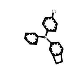 CCc1ccc(N(c2ccccc2)c2ccc3c(c2)CC3)cc1